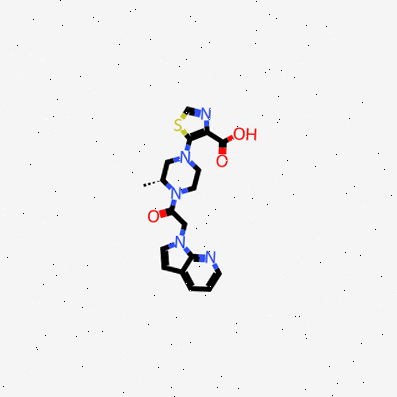 C[C@@H]1CN(c2scnc2C(=O)O)CCN1C(=O)Cn1ccc2cccnc21